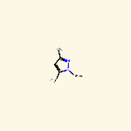 CCCCCCn1nc(C(F)(F)F)cc1C(=O)O